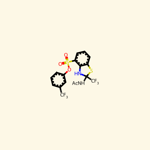 CC(=O)NC1(C(F)(F)F)Nc2c(cccc2S(=O)(=O)Oc2[c]ccc(C(F)(F)F)c2)S1